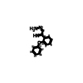 N=C(/C=N\N)c1ccccc1Oc1ccccc1